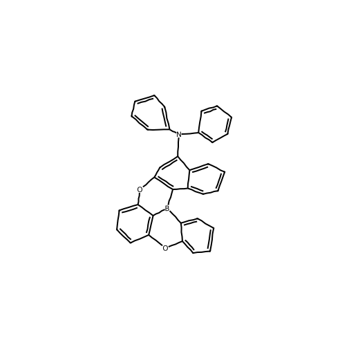 c1ccc(N(c2ccccc2)c2cc3c(c4ccccc24)B2c4ccccc4Oc4cccc(c42)O3)cc1